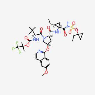 CC[C@@H]1C[C@]1(NC(=O)[C@@H]1C[C@@H](Oc2nccc3cc(OC)ccc23)CN1C(=O)[C@@H](NC(=O)OC(C)(C)C(F)(F)F)C(C)(C)C)C(=O)NS(=O)(=O)OC1(CC)CC1